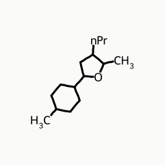 CCCC1CC(C2CCC(C)CC2)OC1C